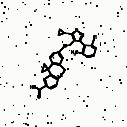 Cc1cccc(Cl)c1-c1noc(C2CC2)c1COc1ccc2c(c1)CCc1ccc(C(=O)O)cc1C21CC1